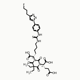 CCC1(CC)C(=O)N([C@@H](CCCCNC(=S)Nc2ccc(-n3cc(CCCF)nn3)cc2)C(=O)O)C(=O)N([C@@H](CCC(=O)O)C(=O)O)C1=O